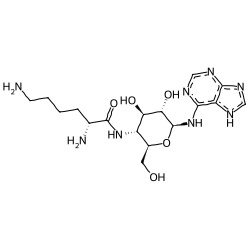 NCCCC[C@@H](N)C(=O)N[C@@H]1[C@@H](O)[C@H](O)[C@@H](Nc2ncnc3nc[nH]c23)O[C@H]1CO